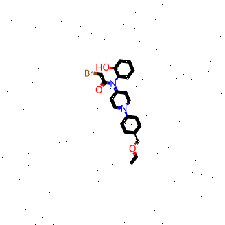 CCOC[C@H]1CC[C@@H](N2CCC(N(C(=O)CBr)[C@@H]3CCCC[C@@H]3O)CC2)CC1